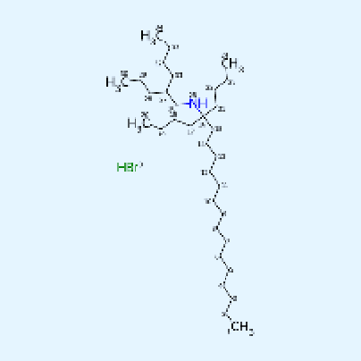 Br.CCCCCCCCCCCCCCCC(CCCC)(CCCC)NCC(CCC)CCCC